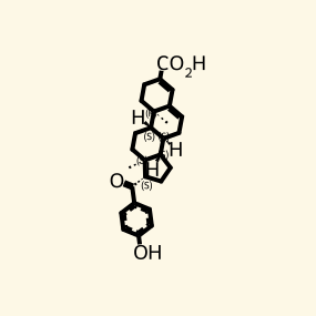 C[C@]12CC[C@H]3[C@@H](CC=C4C=C(C(=O)O)CC[C@@]43C)[C@@H]1CC[C@@H]2C(=O)c1ccc(O)cc1